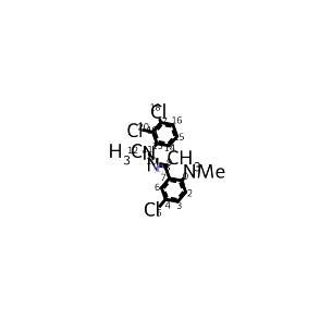 CNc1ccc(Cl)cc1/C(C)=N/N(C)c1cccc(Cl)c1Cl